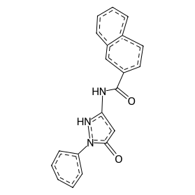 O=C(Nc1cc(=O)n(-c2ccccc2)[nH]1)c1ccc2ccccc2c1